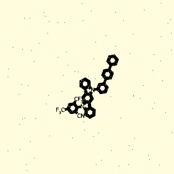 N#Cc1cc(C(F)(F)F)cc(C(F)(F)F)c1-n1c2ccccc2c2cc3c(cc21)c1ccccc1n3-c1cccc(-c2ccc(-c3ccccc3)cc2)c1